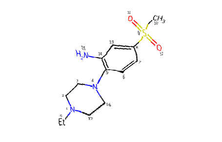 CCN1CCN(c2ccc(S(C)(=O)=O)cc2N)CC1